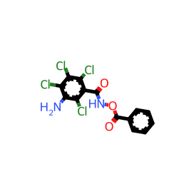 Nc1c(Cl)c(Cl)c(Cl)c(C(=O)NOC(=O)c2ccccc2)c1Cl